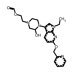 CCn1cc(N2CCN(CCOC=O)CC2O)c2ccc(OCc3ccccn3)nc21